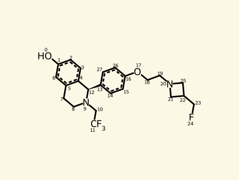 Oc1ccc2c(c1)CCN(CC(F)(F)F)[C@@H]2c1ccc(OCCN2CC(CF)C2)cc1